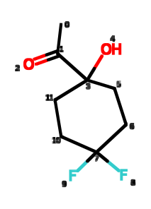 CC(=O)C1(O)CCC(F)(F)CC1